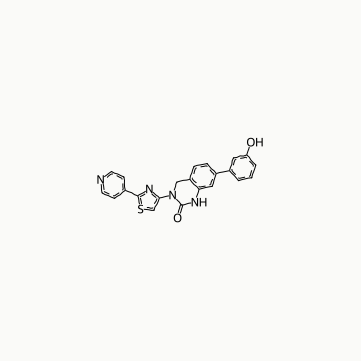 O=C1Nc2cc(-c3cccc(O)c3)ccc2CN1c1csc(-c2ccncc2)n1